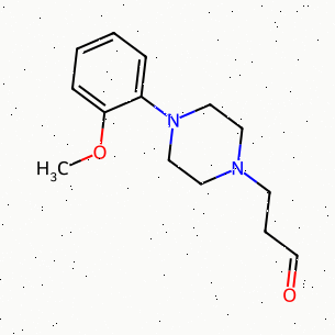 COc1ccccc1N1CCN(CCC=O)CC1